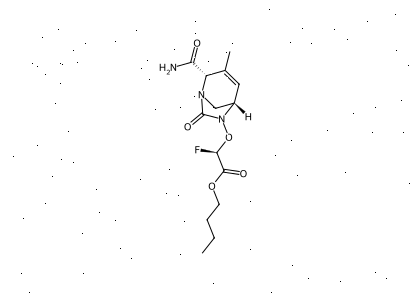 CCCCOC(=O)[C@@H](F)ON1C(=O)N2C[C@@H]1C=C(C)[C@H]2C(N)=O